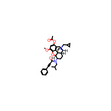 COc1cc(OC(C)=O)c2c3c1O[C@H]1[C@H](N(CC(C)C)C(=O)C#Cc4ccccc4)CC[C@H]4[C@@H](C2)N(CC2CC2)CC[C@@]341